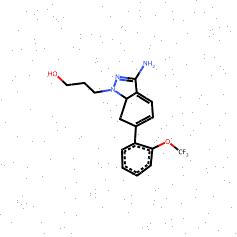 NC1=NN(CCCO)C2CC(c3ccccc3OC(F)(F)F)=CC=C12